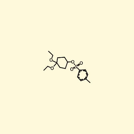 CCOC1(OCC)CCC(OS(=O)(=O)c2ccc(C)cc2)CC1